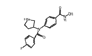 O=C(NO)c1ccc(N(C(=O)c2ccc(F)cc2)C2CCNC2)cc1